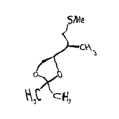 CSC[C@@H](C)[C@@H]1COC(C)(C)O1